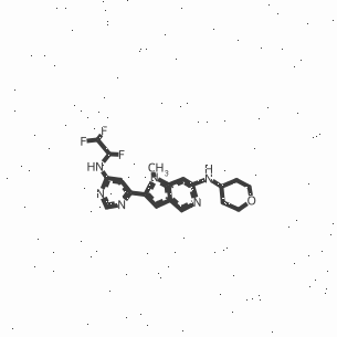 Cn1c(-c2cc(NC(F)C(F)F)ncn2)cc2cnc(NC3CCOCC3)cc21